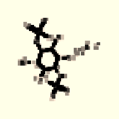 O=P([O-])([O-])O[C@H]1[C@@H](O)[C@@H](O)[C@H](OP(=O)([O-])[O-])[C@@H](O)[C@@H]1O.[K+].[K+].[K+].[K+]